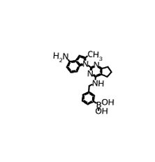 Cc1cc2c(N)cccc2n1-c1nc2c(c(NCc3cccc(B(O)O)c3)n1)CCC2